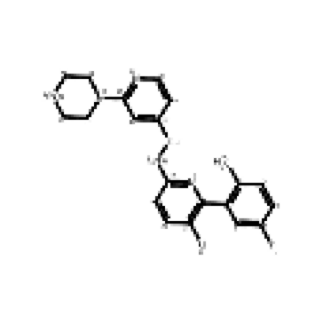 Cc1ccc(F)cc1-c1nc(NSc2ccnc(N3CCNCC3)c2)ccc1Cl